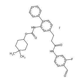 C[N+]1(C)CCC(OC(=O)Nc2cc(CCC(=O)Nc3ccc(C=O)c(F)c3)ccc2-c2ccccc2)CC1.[I-]